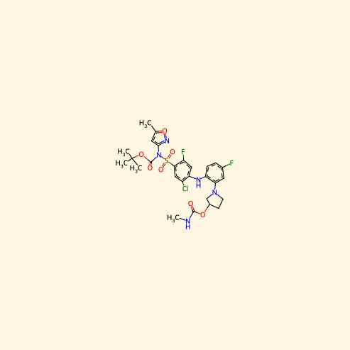 CNC(=O)OC1CCN(c2cc(F)ccc2Nc2cc(F)c(S(=O)(=O)N(C(=O)OC(C)(C)C)c3cc(C)on3)cc2Cl)C1